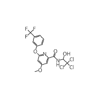 COc1cc(Oc2cccc(C(F)(F)F)c2)nc(C(=O)NC(O)C(Cl)(Cl)Cl)c1